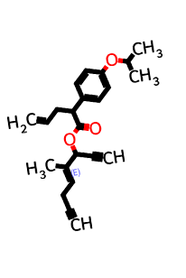 C#CC/C=C(\C)C(C#C)OC(=O)C(CC=C)c1ccc(OC(C)C)cc1